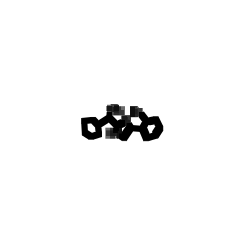 CC(C)(C)C(c1nc(-c2ccccc2Br)c[nH]1)C1CCCCC1